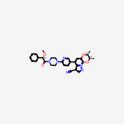 CO[C@@H](C(=O)N1CCN(c2ccc(-c3cc(O[C@@H](C)[C@@H](C)O)cn4ncc(C#N)c34)cn2)CC1)c1ccccc1